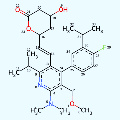 COCc1c(N(C)C)nc(C(C)C)c(/C=C/C2CC(O)CC(=O)O2)c1-c1ccc(F)c(C(C)C)c1